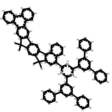 CC1(C)c2cc3c(cc2-c2cc4c5ccccc5c5ccccc5c4cc21)-c1c(cc(-c2nc(-c4cc(-c5ccccc5)cc(-c5ccccc5)c4)nc(-c4cc(-c5ccccc5)cc(-c5ccccc5)c4)n2)c2ccccc12)C3(C)C